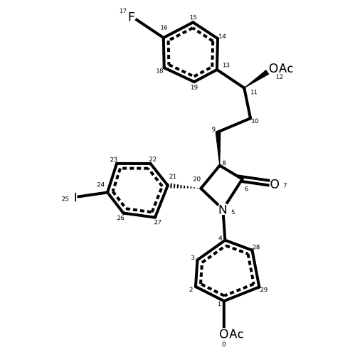 CC(=O)Oc1ccc(N2C(=O)[C@H](CC[C@H](OC(C)=O)c3ccc(F)cc3)[C@H]2c2ccc(I)cc2)cc1